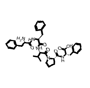 CC(C)[C@H](NC(=O)[C@H](Cc1ccccc1)NC(=O)[C@@H](N)Cc1ccccc1)C(=O)N1CCC[C@H]1C(=O)N[C@@H](Cc1ccccc1)C(=O)O